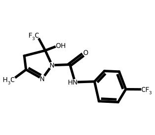 CC1=NN(C(=O)Nc2ccc(C(F)(F)F)cc2)C(O)(C(F)(F)F)C1